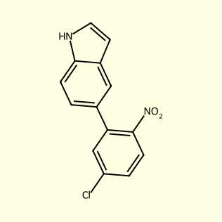 O=[N+]([O-])c1ccc(Cl)cc1-c1ccc2[nH]ccc2c1